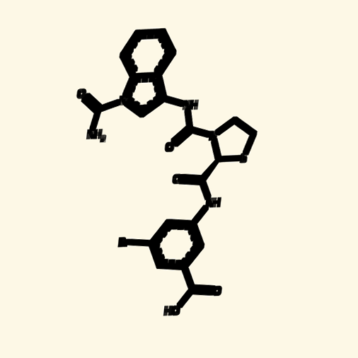 NC(=O)n1cc(NC(=O)N2CCS[C@H]2C(=O)Nc2cc(Br)cc(C(=O)O)c2)c2ccccc21